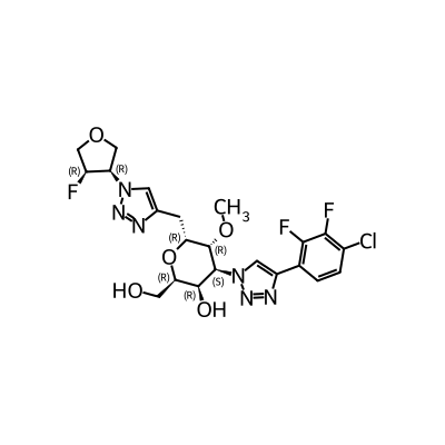 CO[C@@H]1[C@@H](n2cc(-c3ccc(Cl)c(F)c3F)nn2)[C@@H](O)[C@@H](CO)O[C@@H]1Cc1cn([C@@H]2COC[C@@H]2F)nn1